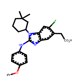 CC(C)Oc1ccc(Nc2nc3cc(CC(=O)O)c(F)cc3n2C2CCCC(C)(C)C2)cc1